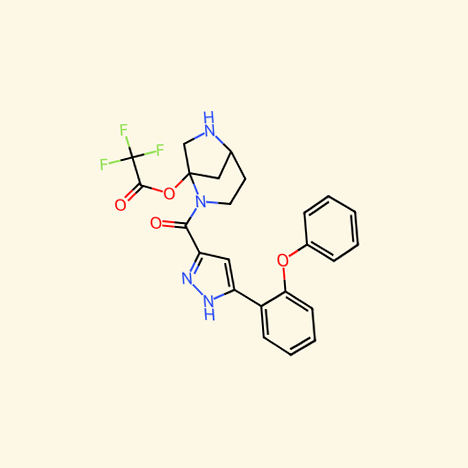 O=C(c1cc(-c2ccccc2Oc2ccccc2)[nH]n1)N1CCC2CC1(OC(=O)C(F)(F)F)CN2